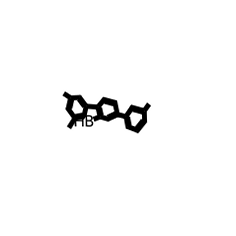 Cc1cccc(-c2ccc3c(c2)Bc2c(C)cc(C)cc2-3)c1